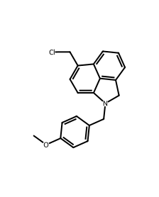 COc1ccc(CN2Cc3cccc4c(CCl)ccc2c34)cc1